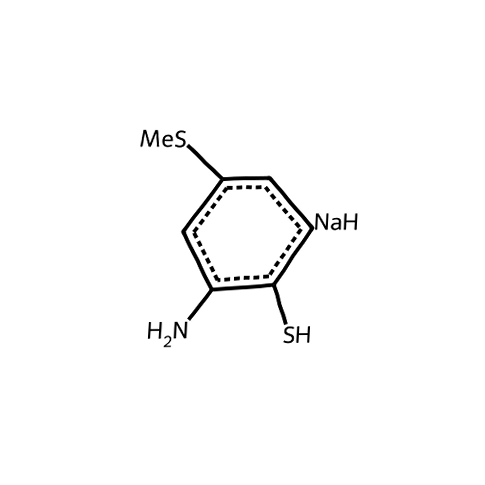 CSc1ccc(S)c(N)c1.[NaH]